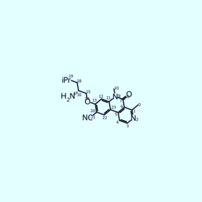 Cc1nccc2c1c(=O)n(C)c1cc(OC[C@H](N)CC(C)C)c(C#N)cc21